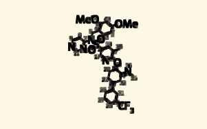 COc1ccc(CN(c2ccncn2)S(=O)(=O)c2cnc(O[C@H]3CC[C@H](c4cccc(C(F)(F)F)c4)C[C@@H]3N(C)C)c(C)c2)c(OC)c1